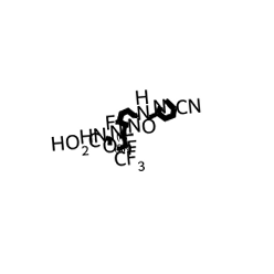 C[C@]1(c2nc(NC(=O)c3ccc(C#N)cn3)ccc2F)N=C(NC(=O)O)O[C@@H](C(F)(F)F)[C@@H]1F